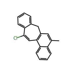 Cc1cc2c(c3ccccc13)C=C(Cl)c1ccccc1C2